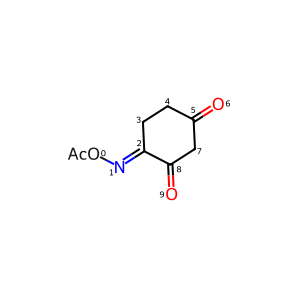 CC(=O)ON=C1CCC(=O)CC1=O